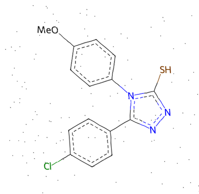 COc1ccc(-n2c(S)nnc2-c2ccc(Cl)cc2)cc1